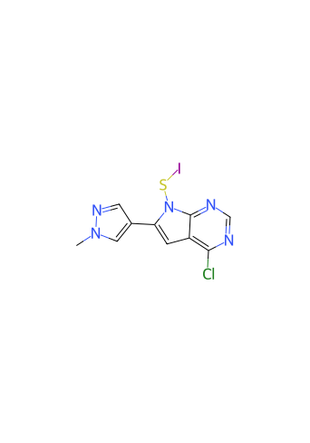 Cn1cc(-c2cc3c(Cl)ncnc3n2SI)cn1